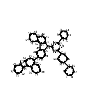 c1ccc(-c2ccc(-c3nc(-c4ccccc4)nc(C4c5ccc(-c6cc7oc8ccccc8c7c7ccccc67)cc5-c5c4ccc4ccccc54)n3)cc2)cc1